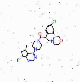 C[C@@H]1C[C@@H](F)c2ncnc(N3CCN(C(=O)[C@H](CN4CCOCC4)c4ccc(Cl)cc4)CC3)c21